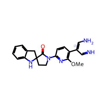 COc1nc(N2CCC3(Cc4ccccc4N3)C2=O)ccc1/C(C=N)=C/N